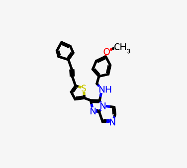 COc1ccc(CNc2c(-c3ccc(C#Cc4ccccc4)s3)nc3cnccn23)cc1